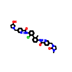 Cc1c(NC(=O)c2ccc(CN3CCN(C)C3=O)cn2)cccc1-c1cccc(NC(=O)c2ccc(CN3CCC(O)C3)cn2)c1Cl